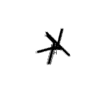 [CH2]Cc1ccc(-c2nc(Nc3cc(CCCCCCCCCCCCCCCCCCCC)c(CCCCCCCCCCCCCCCCCCCC)c(CCCCCCCCCCCCCCCCCCCC)c3)nc(Nc3cc(CCCCCCCCCCCCCCCCCCCC)c(CCCCCCCCCCCCCCCCCCCC)c(CCCCCCCCCCCCCCCCCCCC)c3)n2)cc1